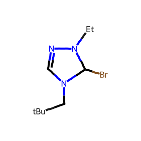 CCN1N=CN(CC(C)(C)C)C1Br